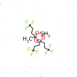 C[Si]1(CCC(F)(F)F)O[SiH2]O[Si](CCC(F)(F)F)(CCC(F)(F)F)O1